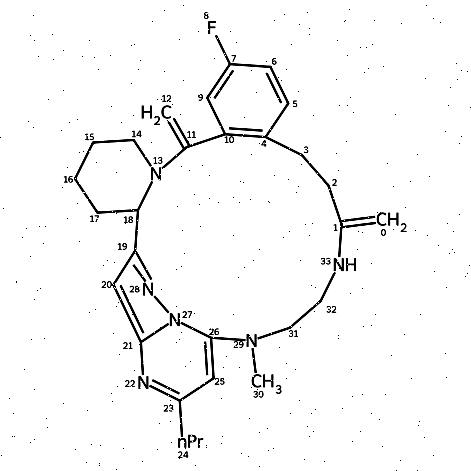 C=C1CCc2ccc(F)cc2C(=C)N2CCCCC2c2cc3nc(CCC)cc(n3n2)N(C)CCN1